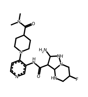 CN(C)C(=O)C1CCN(c2ccncc2NC(=O)C2C(N)NN3CC(F)CNC23)CC1